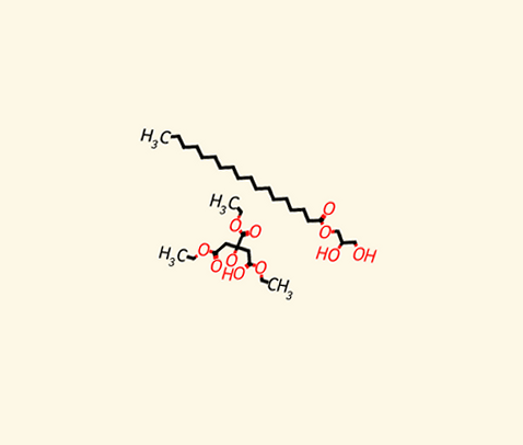 CCCCCCCCCCCCCCCCCC(=O)OCC(O)CO.CCOC(=O)CC(O)(CC(=O)OCC)C(=O)OCC